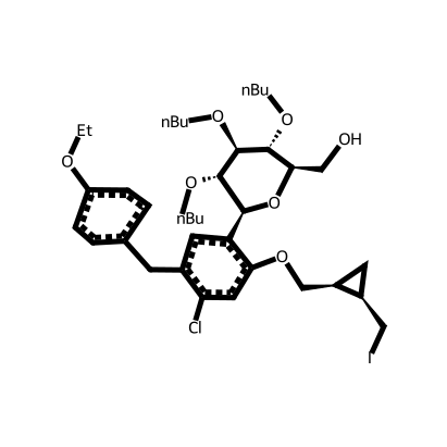 CCCCO[C@@H]1[C@@H](OCCCC)[C@H](c2cc(Cc3ccc(OCC)cc3)c(Cl)cc2OC[C@H]2C[C@H]2CI)O[C@H](CO)[C@H]1OCCCC